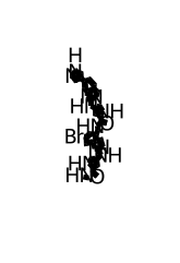 CNC(=O)c1cc(Nc2ncc3c(CNC(=O)c4cc(Nc5ncc6ccc(-c7cn[nH]c7)cc6n5)c[nH]4)cc(Br)cc3n2)c[nH]1